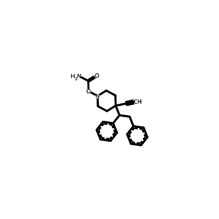 C#CC1(C(Cc2ccccc2)c2ccccc2)CCN(OC(N)=O)CC1